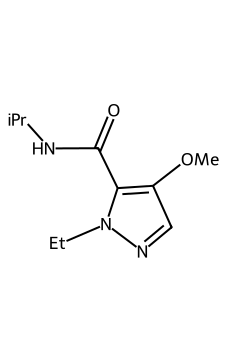 CCn1ncc(OC)c1C(=O)NC(C)C